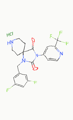 Cl.O=C1N(c2ccnc(C(F)(F)F)c2)C(=O)C2(CCNCC2)N1Cc1cc(F)cc(F)c1